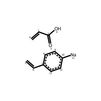 C=CC(=O)O.C=Cc1cc[c]([Na])cc1